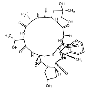 C[C@@H]1NC(=O)[C@H](C[C@@](C)(O)CO)NC(=O)[C@H]2NC(=O)[C@H](C)NC(=O)[C@@H]3C[C@H](O)CN3C(=O)[C@@H](CSc3[nH]c4ccccc4c32)NC(=O)[C@H]([C@@H](C)O)NC1=O